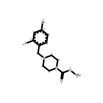 CC(C)(C)OC(=O)N1CCN(Cc2ccc(Br)cc2F)CC1